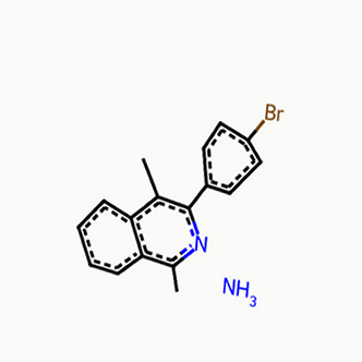 Cc1nc(-c2ccc(Br)cc2)c(C)c2ccccc12.N